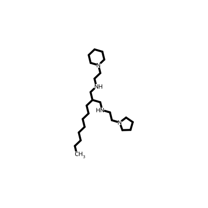 CCCCCCCCC(CNCCN1CCCCC1)CNCCN1CCCC1